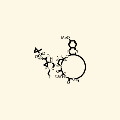 COc1ccc2nc3c(nc2c1)O[C@H]1CN(C(=O)[C@H](C(C)(C)C)NC(=O)O[C@H](C)CCCCCCC3)[C@H](C(=O)N[C@]2(C(=O)NS(=O)(=O)C3(C)CC3)C[C@H]2CCF)[C@@H]1C